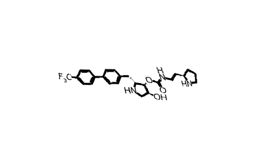 O=C(NCC[C@H]1CCCN1)O[C@@H]1[C@@H](O)CN[C@@H]1Cc1ccc(-c2ccc(C(F)(F)F)cc2)cc1